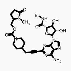 CCNC(=O)[C@H]1O[C@@H](n2cnc3c(N)nc(C#CCC4CCN(C(=O)OCC5CCC(=O)N5C)CC4)nc32)[C@@H](O)C1O